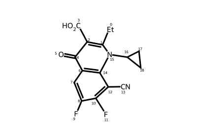 CCc1c(C(=O)O)c(=O)c2cc(F)c(F)c(C#N)c2n1C1CC1